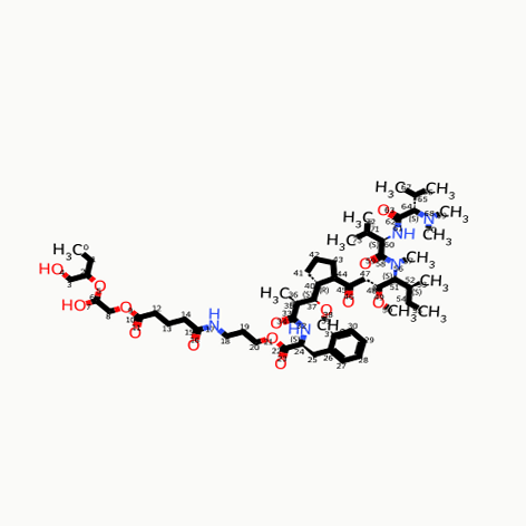 CCC(CO)OC(O)COC(=O)CCCC(=O)NCCCOC(=O)[C@H](Cc1ccccc1)NC(=O)[C@H](C)[C@@H](OC)[C@@H]1CCCC1C(=O)C[C@@H](OC)[C@H]([C@@H](C)CC)N(C)C(=O)[C@@H](NC(=O)[C@H](C(C)C)N(C)C)C(C)C